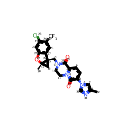 Cc1cn(-c2ccc3n(c2=O)CCN(C[C@@]24C[C@]2(C)Oc2cc(Cl)c(C(F)(F)F)cc24)C3=O)cn1